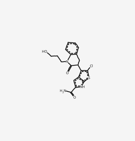 NC(=O)c1cc2c(C3Cc4ccccc4N(CCCO)C3=O)c(Cl)sc2[nH]1